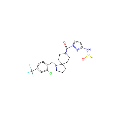 C[S+]([O-])Nc1ccn(C(=O)N2CCC3(CCCN3Cc3ccc(C(F)(F)F)cc3Cl)CC2)n1